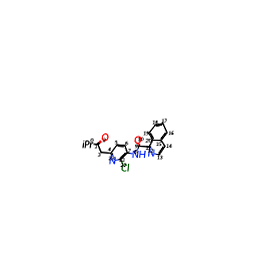 CC(C)C(=O)Cc1ccc(NC(=O)c2nccc3ccccc23)c(Cl)n1